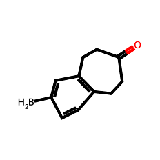 Bc1ccc2c(c1)CCC(=O)CC2